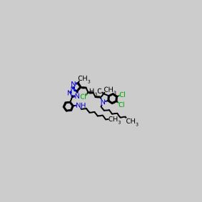 CCCCCCCCNc1ccccc1-c1nc2\c(=C/C(Cl)=C/C=C3/N(CCCCCCCC)c4cc(Cl)c(Cl)cc4C3(C)C)c(C)nn2n1